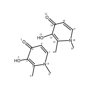 Cc1c(O)c(=O)ccn1C.Cc1c(O)c(=O)ccn1C